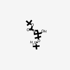 CC(C)(C)OC(=O)N1CC(CO)(C(C)(C)O[SiH2]C(C)(C)C)C1